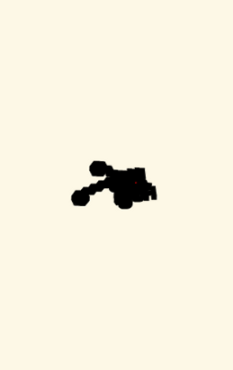 C=CCN1CC[C@]23c4c5c(O)cc(OC(C)=O)c4O[C@H]2[C@H](N(CCCc2ccccc2)C(=O)CCCCCCCc2ccccc2)CC[C@H]3[C@H]1C5